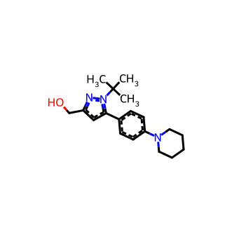 CC(C)(C)n1nc(CO)cc1-c1ccc(N2CCCCC2)cc1